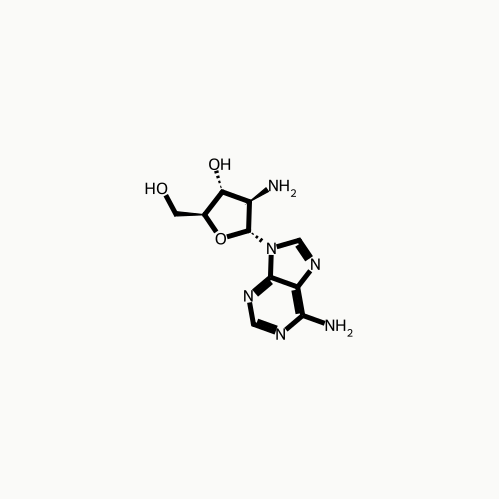 Nc1ncnc2c1ncn2[C@@H]1O[C@@H](CO)[C@H](O)[C@H]1N